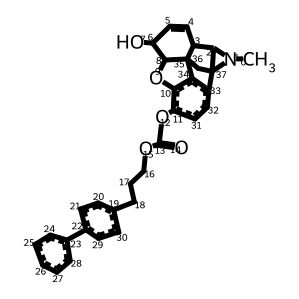 CN1C2C3C=CC(O)C4Oc5c(OC(=O)OCCCc6ccc(-c7ccccc7)cc6)ccc6c5C34CC621